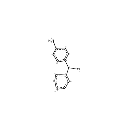 Nc1ccc(C(O)c2ccncc2)cc1